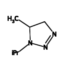 CC(C)N1N=NCC1C